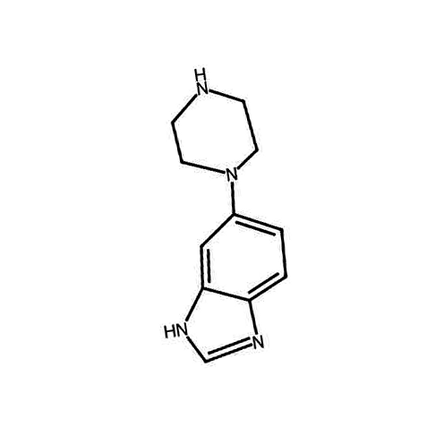 c1nc2ccc(N3CCNCC3)cc2[nH]1